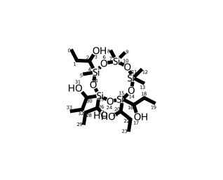 CCC(O)[Si]1(C)O[Si](C)(C)O[Si](C)(C)O[Si](C(O)CC)(C(O)CC)O[Si](C(O)CC)(C(O)CC)O1